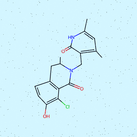 Cc1cc(C)c(CN2C(=O)c3c(ccc(O)c3Cl)CC2C)c(=O)[nH]1